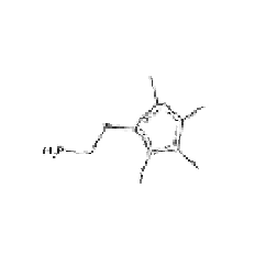 Cc1c(C)c(CCP)p(C)c1C